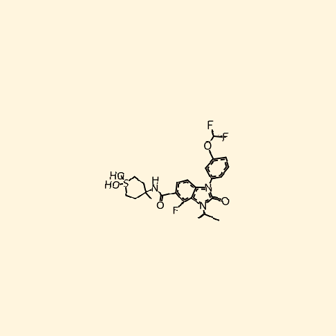 CC(C)n1c(=O)n(-c2cccc(OC(F)F)c2)c2ccc(C(=O)NC3(C)CCS(O)(O)CC3)c(F)c21